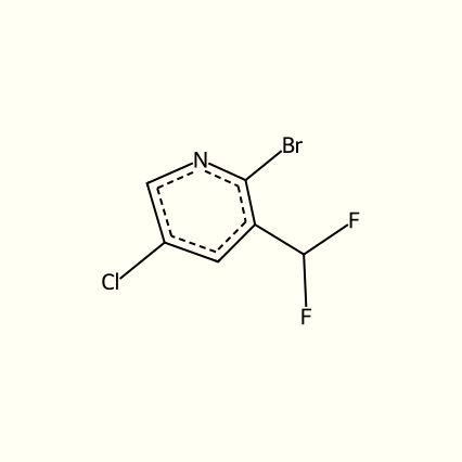 FC(F)c1cc(Cl)cnc1Br